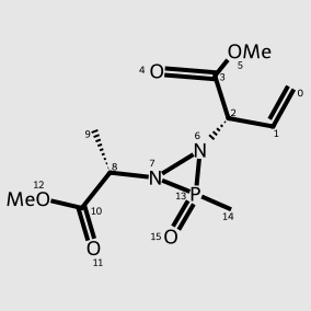 C=C[C@@H](C(=O)OC)N1N([C@@H](C)C(=O)OC)P1(C)=O